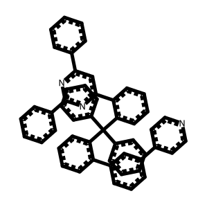 c1ccc(-c2cc(-c3ccccc3C(c3ccccc3)(c3ccccc3)c3ccccc3-c3cccc(-c4ccncc4)c3)nc(-c3ccccc3)n2)cc1